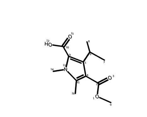 COC(=O)c1c(C(C)C)c(C(=O)O)n(C)c1C